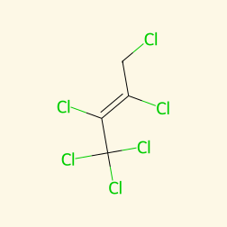 ClCC(Cl)=C(Cl)C(Cl)(Cl)Cl